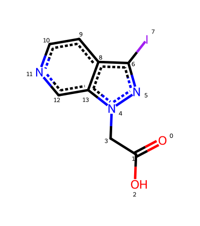 O=C(O)Cn1nc(I)c2ccncc21